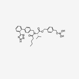 CCCCC(=O)N(Cc1ccc(-c2ccccc2-c2nn[nH]n2)cc1)[C@H](C(=O)OCc1ccc(CON(O)O)cc1)C(C)C